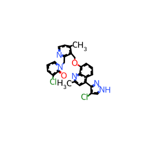 Cc1cc(-c2n[nH]cc2Cl)c2cccc(OCc3c(C)ccnc3Cn3cccc(Cl)c3=O)c2n1